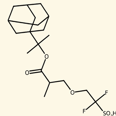 CC(COCC(F)(F)S(=O)(=O)O)C(=O)OC(C)(C)C12CC3CC(CC(C3)C1)C2